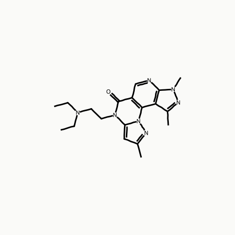 CCN(CC)CCn1c(=O)c2cnc3c(c(C)nn3C)c2n2nc(C)cc12